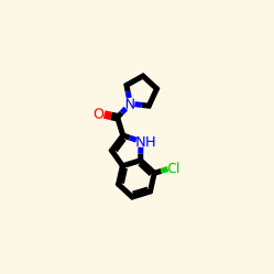 O=C(c1cc2cccc(Cl)c2[nH]1)N1CCCC1